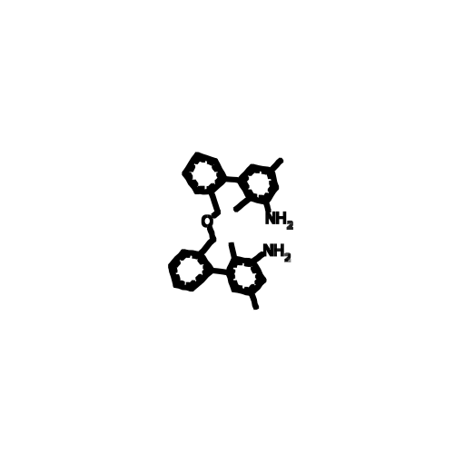 Cc1cc(N)c(C)c(-c2ccccc2COCc2ccccc2-c2cc(C)cc(N)c2C)c1